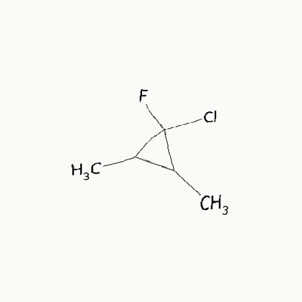 CC1C(C)C1(F)Cl